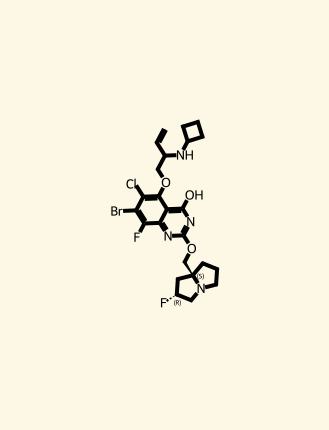 C=CC(COc1c(Cl)c(Br)c(F)c2nc(OC[C@@]34CCCN3C[C@H](F)C4)nc(O)c12)NC1CCC1